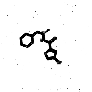 [CH2][C@@H](CC1CCCCC1)NC(=O)c1cc(Br)cs1